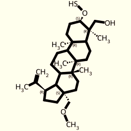 C=C(C)[C@@H]1CC[C@]2(COC)CC[C@]3(C)C(CCC4[C@@]5(C)CC[C@H](OS)[C@@](C)(CO)C5CC[C@]43C)C12